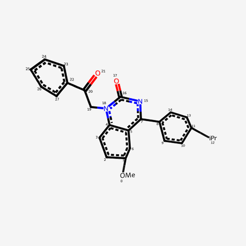 COc1ccc2c(c1)c(-c1ccc(C(C)C)cc1)nc(=O)n2CC(=O)c1ccccc1